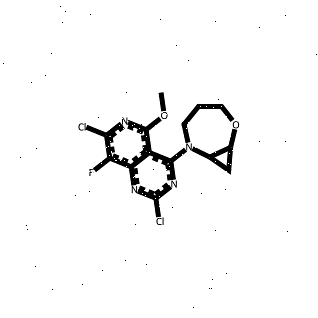 COc1nc(Cl)c(F)c2nc(Cl)nc(N3CCCOC4CC43)c12